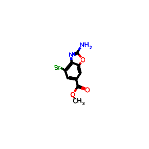 COC(=O)c1cc(Br)c2nc(N)oc2c1